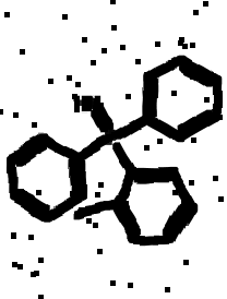 Cc1ccccc1P(=N)(c1ccccc1)c1ccccc1